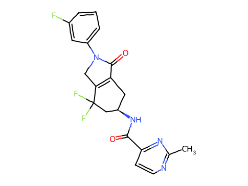 Cc1nccc(C(=O)N[C@@H]2CC3=C(CN(c4cccc(F)c4)C3=O)C(F)(F)C2)n1